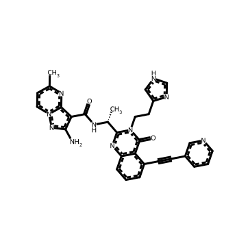 Cc1ccn2nc(N)c(C(=O)N[C@H](C)c3nc4cccc(C#Cc5cccnc5)c4c(=O)n3CCc3c[nH]cn3)c2n1